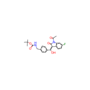 CC(=O)N1C(=O)C(=C(O)c2ccc(CNC(=O)OC(C)(C)C)cc2)c2ccc(F)cc21